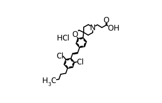 CCCCc1cc(Cl)c(C=Cc2ccc3c(c2)OCC32CCN(CCC(=O)O)CC2)c(Cl)c1.Cl